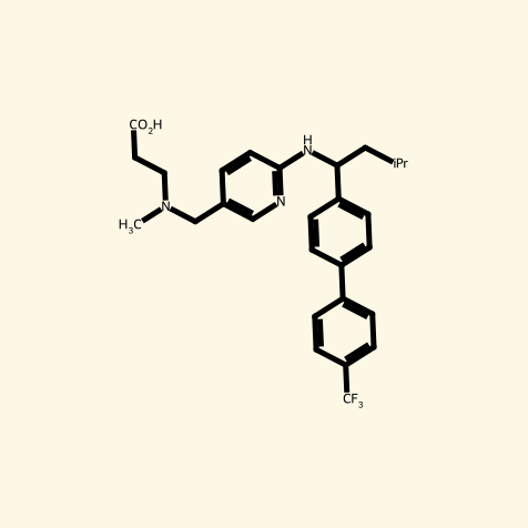 CC(C)CC(Nc1ccc(CN(C)CCC(=O)O)cn1)c1ccc(-c2ccc(C(F)(F)F)cc2)cc1